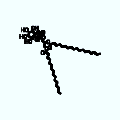 CCCCCCCCCCCCCCCC=CC(=O)OC(COC(=O)CCCCCCCCCCCCCCC)COP(=O)(O)OC1C(O)C(O)C(O)C(O)C1O